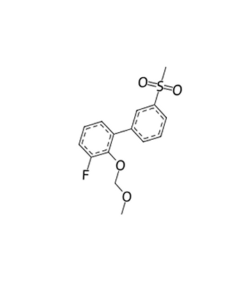 COCOc1c(F)cccc1-c1cccc(S(C)(=O)=O)c1